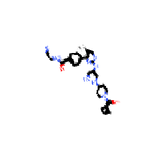 Cc1cnc(N/C(C=N)=C/NC2CCN(C(=O)C34CC(C3)C4)CC2)nc1-c1ccc(C(=O)NCC#N)cc1